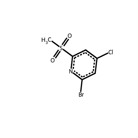 CS(=O)(=O)c1cc(Cl)cc(Br)n1